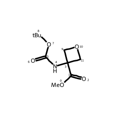 COC(=O)C1(NC(=O)OC(C)(C)C)COC1